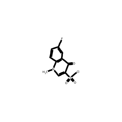 Cn1cc(S(=O)(=O)Cl)c(=O)c2cc(F)ccc21